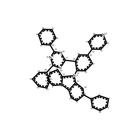 c1ccc(-c2ccc3c4ccccc4n(-c4ccc(-c5ccncc5)cc4-c4nc(-c5ccccc5)nc(-c5ccccc5)n4)c3c2)cc1